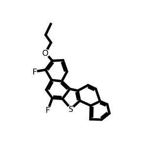 CCCOc1ccc2c(cc(F)c3sc4c5ccccc5ccc4c32)c1F